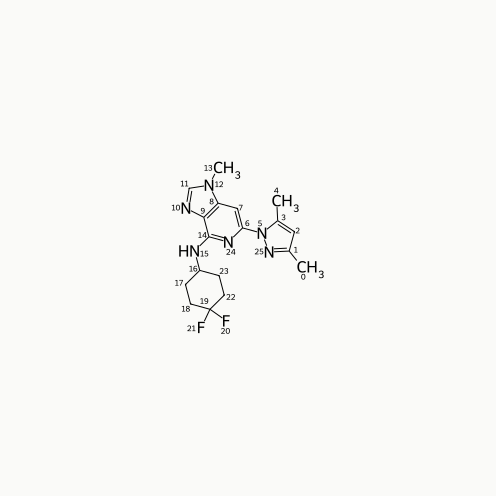 Cc1cc(C)n(-c2cc3c(ncn3C)c(NC3CCC(F)(F)CC3)n2)n1